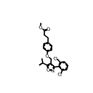 COC(=O)CCc1ccc(OCc2c(-c3c(Cl)cccc3Cl)noc2C(C)C)cc1